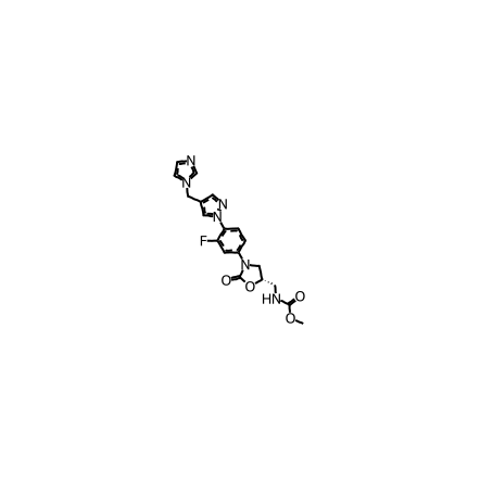 COC(=O)NC[C@H]1CN(c2ccc(-n3cc(Cn4ccnc4)cn3)c(F)c2)C(=O)O1